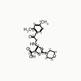 Cc1ccc(C(=O)CNc2nc(N3CCOCC3)sc2C(=O)O)c(C)c1